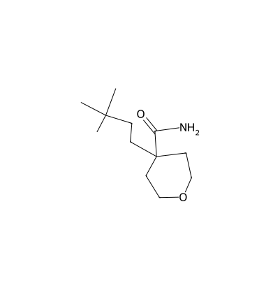 CC(C)(C)CCC1(C(N)=O)CCOCC1